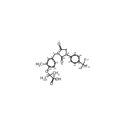 Cc1cc(CN2C(=O)CN(c3ccc(C(F)(F)F)cc3)C2=O)ccc1OC(C)(C)C(=O)O